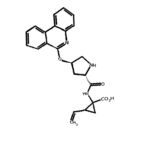 C=CC1CC1(NC(=O)[C@@H]1C[C@@H](Oc2nc3ccccc3c3ccccc23)CN1)C(=O)O